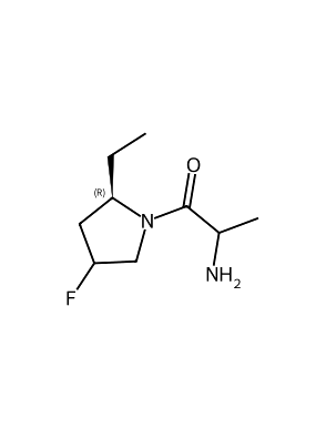 CC[C@@H]1CC(F)CN1C(=O)C(C)N